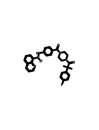 CC(C)(C(=O)N1CCN(C(=O)c2ccc(N[S+]([O-])c3cccc4cccnc34)cc2)CC1)c1ccc(F)cc1